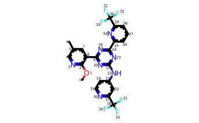 COc1ncc(C)cc1-c1nc(Nc2ccnc(C(F)(F)F)c2)nc(-c2cccc(C(F)(F)F)n2)n1